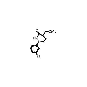 CCc1cccc(N2CCC(COC)C(=O)N2)c1